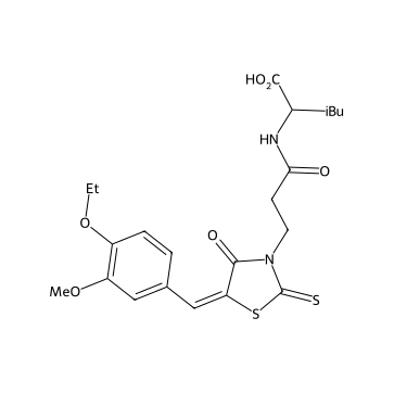 CCOc1ccc(/C=C2/SC(=S)N(CCC(=O)NC(C(=O)O)C(C)CC)C2=O)cc1OC